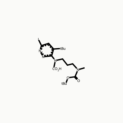 CN(CCCN(C(=O)O)c1nnc(I)cc1C(C)(C)C)C(=O)OC(C)(C)C